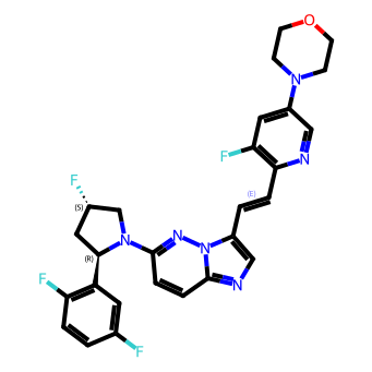 Fc1ccc(F)c([C@H]2C[C@H](F)CN2c2ccc3ncc(/C=C/c4ncc(N5CCOCC5)cc4F)n3n2)c1